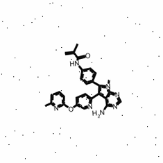 C=C(C)C(=O)Nc1ccc(-c2c(-c3ccc(Oc4cccc(C)n4)cn3)c3c(N)ncnc3n2C)cc1